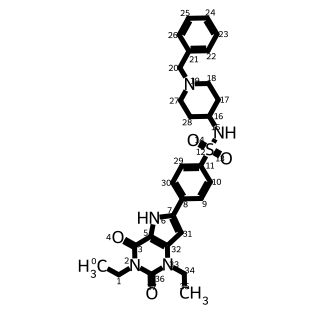 CCn1c(=O)c2[nH]c(-c3ccc(S(=O)(=O)NC4CCN(Cc5ccccc5)CC4)cc3)cc2n(CC)c1=O